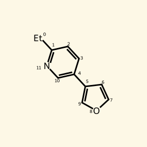 CCc1ccc(-c2ccoc2)cn1